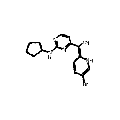 N#CC(=C1C=CC(Br)=CN1)c1ccnc(NC2CCCC2)n1